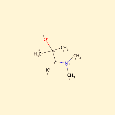 CN(C)CC(C)(C)[O-].[K+]